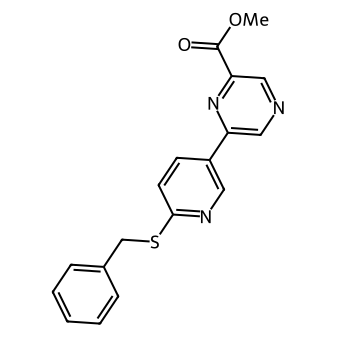 COC(=O)c1cncc(-c2ccc(SCc3ccccc3)nc2)n1